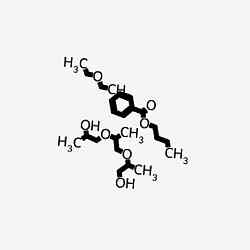 CC(O)COC(C)COC(C)CO.CCCCOC(=O)c1ccccc1.CCOCC